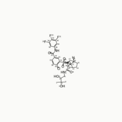 CC(C)(O)C(O)CNC(=O)C[C@@]1(O)C2CC[C@H]1C[C@H](S(=O)(=O)c1cc(C(=O)Nc3cc(F)c(F)c(F)c3)ccc1Cl)C2